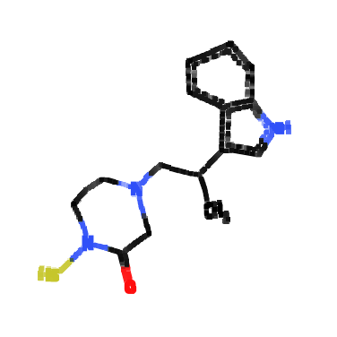 CC(CN1CCN(S)C(=O)C1)c1c[nH]c2ccccc12